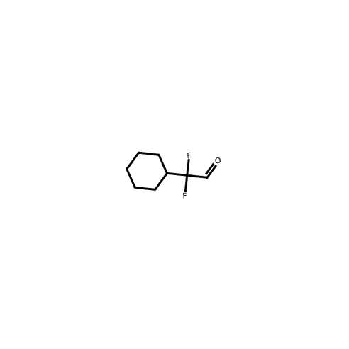 O=CC(F)(F)C1CCCCC1